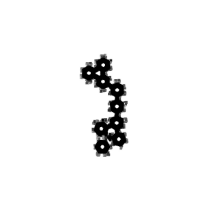 c1ccc(N2c3ccccc3-c3ccc(-c4ccc(-c5cccc(-c6ccc7c8ccccc8c8ccccc8c7c6)c5)cc4)cc3-c3ccccc32)cc1